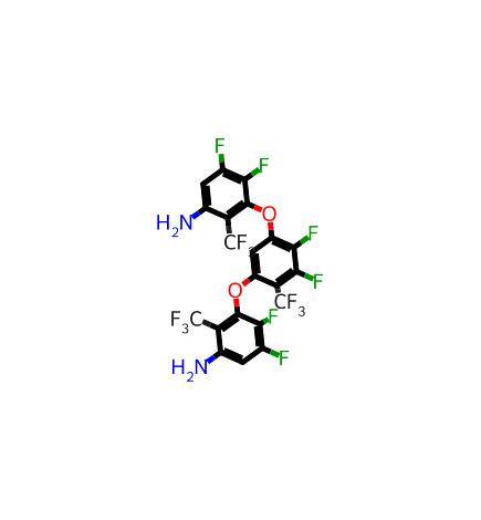 Nc1cc(F)c(F)c(Oc2cc(Oc3c(F)c(F)cc(N)c3C(F)(F)F)c(C(F)(F)F)c(F)c2F)c1C(F)(F)F